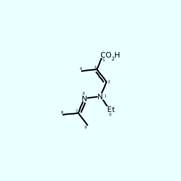 CCN(C=C(C)C(=O)O)N=C(C)C